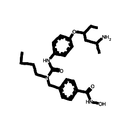 CCCCN(Cc1ccc(C(=O)NO)cc1)C(=O)Nc1ccc(OC(CC)CC(C)N)cc1